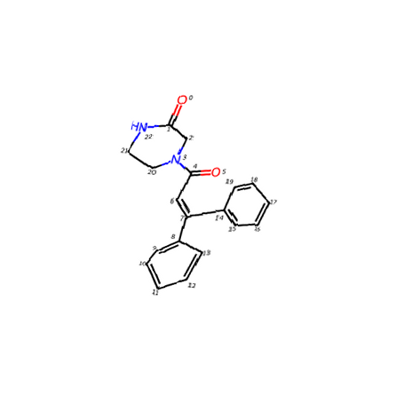 O=C1CN(C(=O)C=C(c2ccccc2)c2ccccc2)CCN1